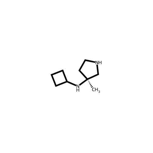 C[C@]1(NC2CCC2)CCNC1